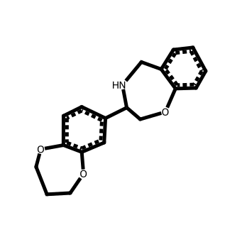 c1ccc2c(c1)CNC(c1ccc3c(c1)OCCCO3)CO2